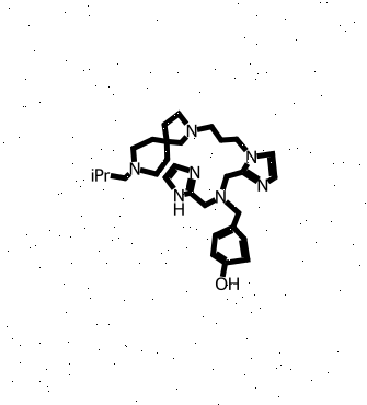 CC(C)CN1CCC2(CC1)CCN(CCCn1ccnc1CN(Cc1ccc(O)cc1)Cc1ncc[nH]1)C2